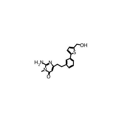 Cn1c(N)nc(CCc2cccc(-c3ccc(CO)s3)c2)cc1=O